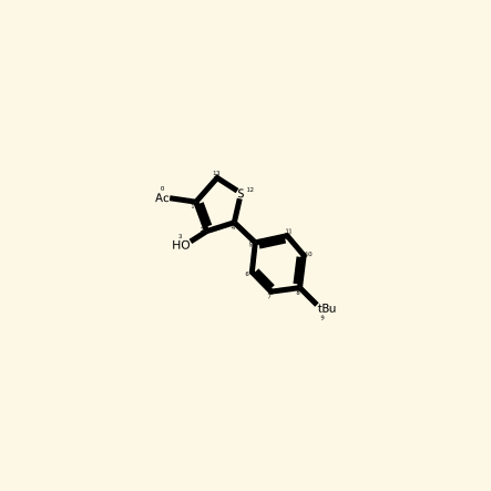 CC(=O)C1=C(O)C(c2ccc(C(C)(C)C)cc2)SC1